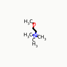 COCC[N+](C)(C)C